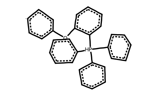 [c]1ccc(Oc2ccccc2[PH](c2ccccc2)(c2ccccc2)c2ccccc2)cc1